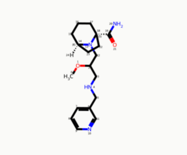 COC(CNCc1cccnc1)CN1[C@@H]2C[CH]C[C@@]1(C(N)=O)CC2